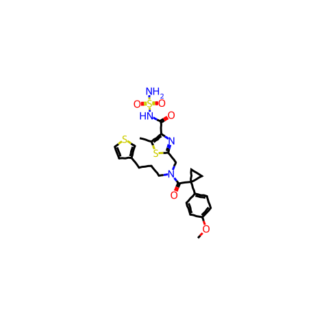 COc1ccc(C2(C(=O)N(CCCc3ccsc3)Cc3nc(C(=O)NS(N)(=O)=O)c(C)s3)CC2)cc1